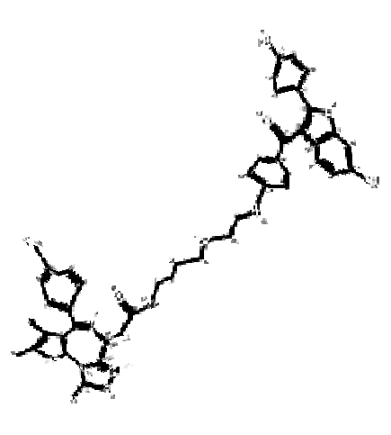 Cc1sc2c(c1C)C(c1ccc(Cl)cc1)=N[C@@H](CC(=O)NCCCCOCCOc1ccc(C(=O)c3c(-c4ccc(O)cc4)sc4cc(O)ccc34)cc1)c1nnc(C)n1-2